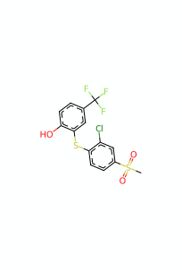 CS(=O)(=O)c1ccc(Sc2cc(C(F)(F)F)ccc2O)c(Cl)c1